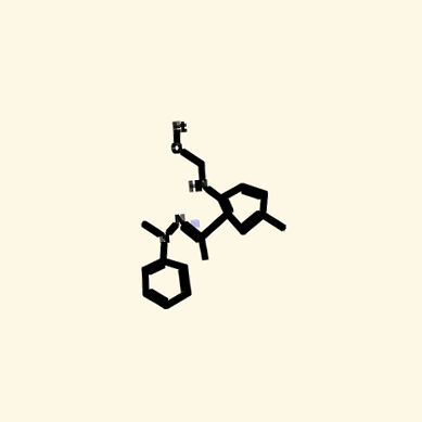 CCOCNc1ccc(C)cc1/C(C)=N/N(C)c1ccccc1